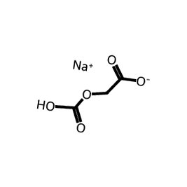 O=C([O-])COC(=O)O.[Na+]